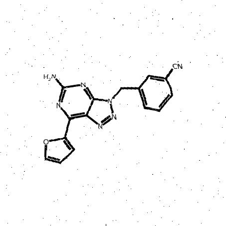 N#Cc1cccc(Cn2nnc3c(-c4ccco4)nc(N)nc32)c1